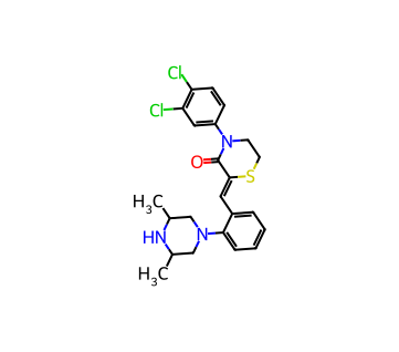 CC1CN(c2ccccc2C=C2SCCN(c3ccc(Cl)c(Cl)c3)C2=O)CC(C)N1